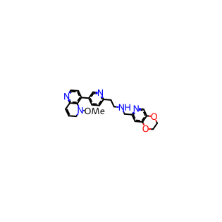 CON1CC=Cc2nccc(-c3ccc(CCNCc4cc5c(cn4)OCCO5)nc3)c21